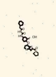 Cl.O=C(Cc1ccccc1)NC(=O)Nc1ccc(Oc2ccnc3cc(C(=O)N4CCCC4)sc23)c(F)c1